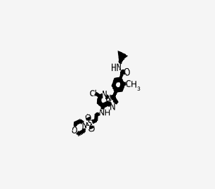 Cc1cc(-c2cnc3c(NCCS(=O)(=O)N4CCOCC4)cc(Cl)nn23)ccc1C(=O)NC1CC1